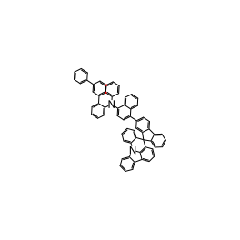 c1ccc(-c2cccc(-c3ccccc3N(c3ccccc3)c3ccc(-c4ccc5c(c4)C4(c6ccccc6-5)c5ccccc5-n5c6ccccc6c6cccc4c65)c4ccccc34)c2)cc1